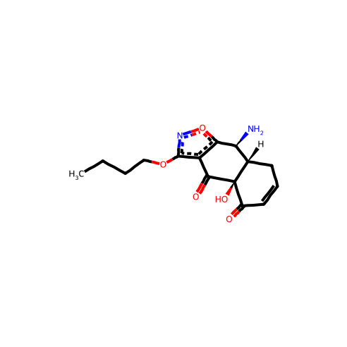 CCCCOc1noc2c1C(=O)[C@@]1(O)C(=O)C=CC[C@H]1[C@@H]2N